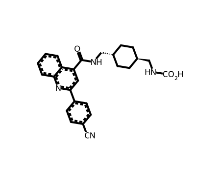 N#Cc1ccc(-c2cc(C(=O)NC[C@H]3CC[C@H](CNC(=O)O)CC3)c3ccccc3n2)cc1